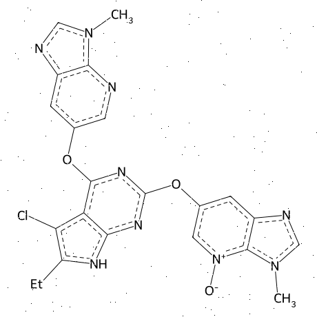 CCc1[nH]c2nc(Oc3cc4ncn(C)c4[n+]([O-])c3)nc(Oc3cnc4c(c3)ncn4C)c2c1Cl